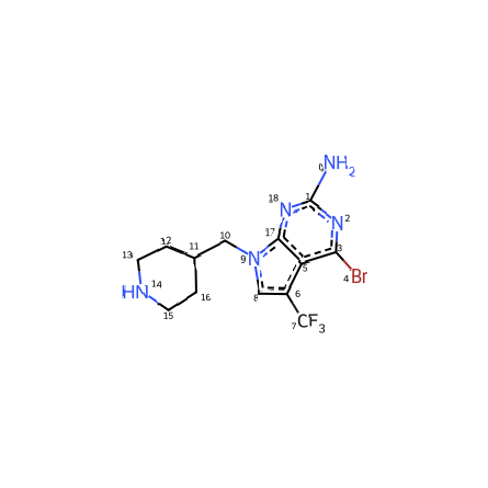 Nc1nc(Br)c2c(C(F)(F)F)cn(CC3CCNCC3)c2n1